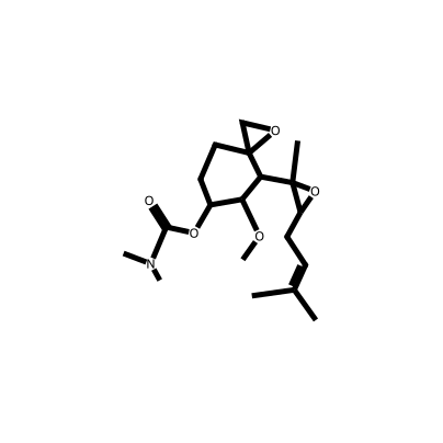 COC1C(OC(=O)N(C)C)CCC2(CO2)C1C1(C)OC1CC=C(C)C